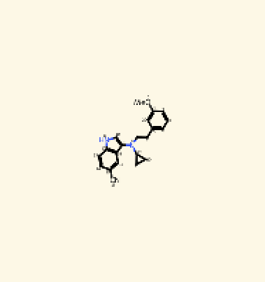 COc1cccc(CCN(c2c[nH]c3ccc(C#N)cc23)C2CC2)c1